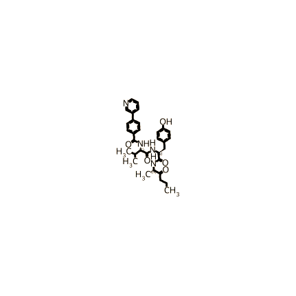 CCCC(=O)[C@H](C)NC(=O)[C@H](Cc1ccc(O)cc1)NC(=O)[C@@H](NC(=O)c1ccc(-c2cccnc2)cc1)C(C)C